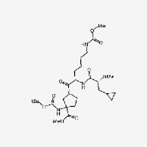 CN[C@H](CC1CC1)C(=O)N[C@H](CCCCNC(=O)OC(C)(C)C)C(=O)N1CCC(NC(=O)OC(C)(C)C)(C(=O)OC)C1